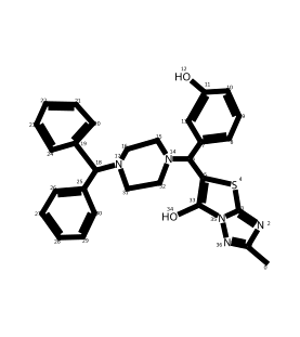 Cc1nc2sc(C(c3cccc(O)c3)N3CCN(C(c4ccccc4)c4ccccc4)CC3)c(O)n2n1